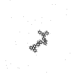 c1ccc(-c2nc(-c3ccccc3)nc(-c3ccc4c(c3)oc3cccc(-c5ccc6oc7cc(-c8ccc9c%10ccccc%10c%10ccccc%10c9c8)ccc7c6c5)c34)n2)cc1